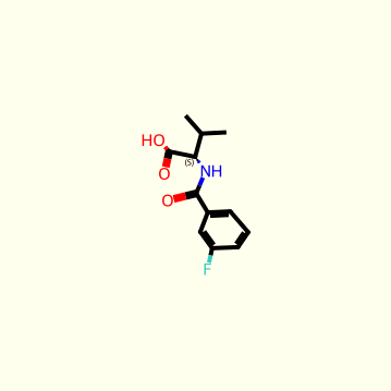 CC(C)[C@H](NC(=O)c1cccc(F)c1)C(=O)O